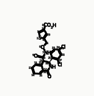 O=C(O)c1csc(CONC(=O)[C@@H]2c3ccccc3C(=O)N[C@H]2c2ccc(Cl)cc2Cl)c1